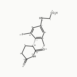 O=C(O)CNc1cc(F)c([C@H]2CCC(=O)NC2=O)c(F)c1